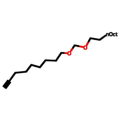 C#CCCCCCCCOCOCCCCCCCCCC